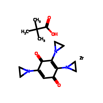 CC(C)(C)C(=O)O.O=C1C=C(N2CC2)C(=O)C(N2CC2)=C1N1CC1.[Zr]